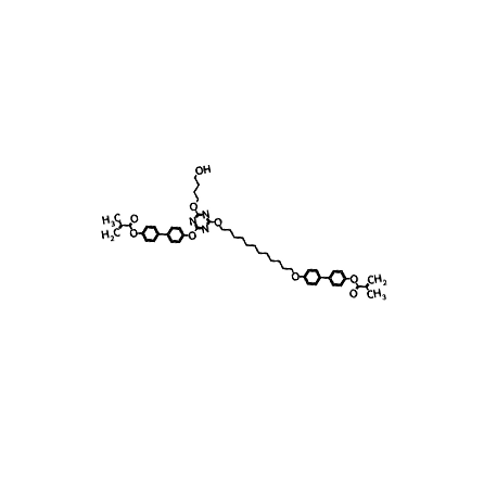 C=C(C)C(=O)Oc1ccc(-c2ccc(OCCCCCCCCCCCCOc3nc(OCCCCO)nc(Oc4ccc(-c5ccc(OC(=O)C(=C)C)cc5)cc4)n3)cc2)cc1